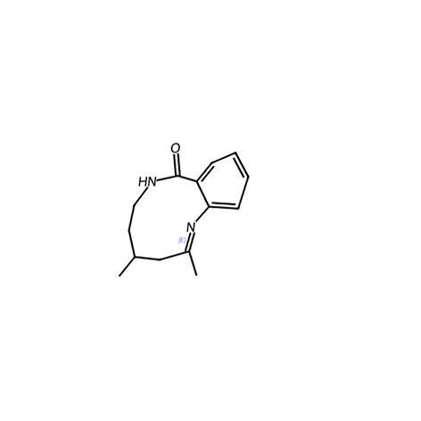 C/C1=N\c2ccccc2C(=O)NCCC(C)C1